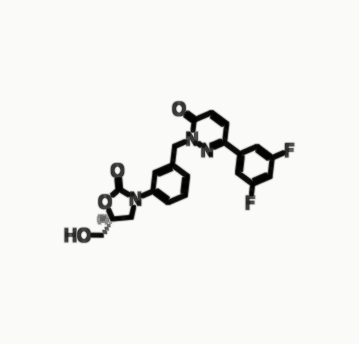 O=C1O[C@@H](CO)CN1c1cccc(Cn2nc(-c3cc(F)cc(F)c3)ccc2=O)c1